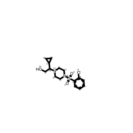 O=S(=O)(c1ccccc1Cl)N1CCN(C(CO)C2CC2)CC1